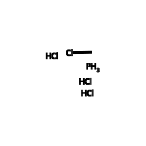 CCl.Cl.Cl.Cl.P